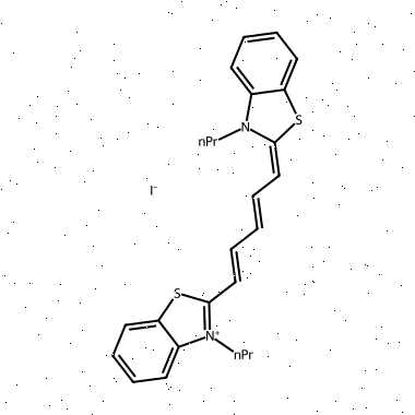 CCCN1C(=CC=CC=Cc2sc3ccccc3[n+]2CCC)Sc2ccccc21.[I-]